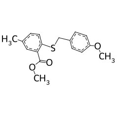 COC(=O)c1cc(C)ccc1SCc1ccc(OC)cc1